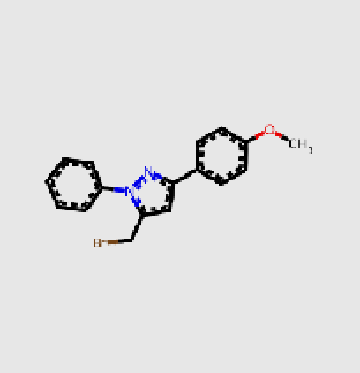 COc1ccc(-c2cc(CBr)n(-c3ccccc3)n2)cc1